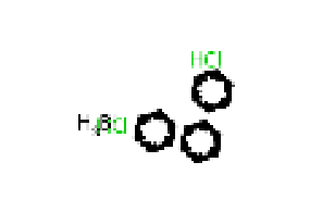 Cl.Cl.[BiH3].c1ccccc1.c1ccccc1.c1ccccc1